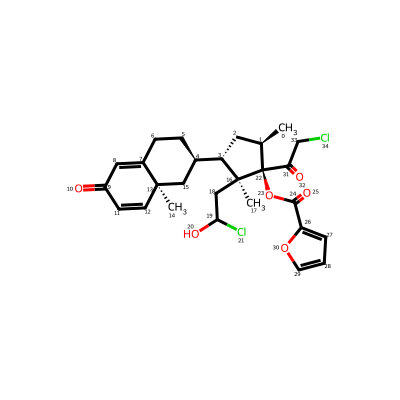 C[C@@H]1C[C@@H]([C@@H]2CCC3=CC(=O)C=C[C@]3(C)C2)[C@](C)(CC(O)Cl)[C@@]1(OC(=O)c1ccco1)C(=O)CCl